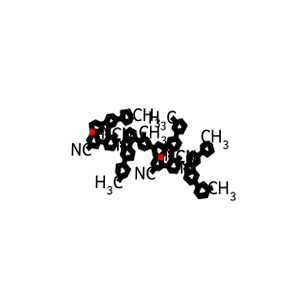 Cc1ccc(-c2ccc3c4ccccc4n(-c4c(-c5cccc(C#N)c5)ccc(-n5c6cc(-c7ccc(C)cc7)ccc6c6c(-c7ccc(-c8ccc9c(c8)c8cc(-c%10cccc(C)c%10)ccc8n9-c8c(-c9cccc(C#N)c9)ccc(-n9c%10ccc(-c%11cccc(C)c%11)cc%10c%10cc(-c%11cccc(C)c%11)ccc%109)c8C#N)cc7C)cccc65)c4C#N)c3c2)cc1